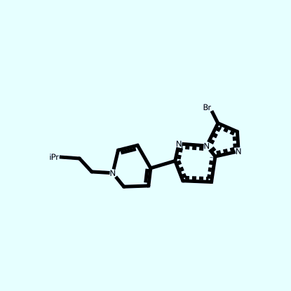 CC(C)CCN1C=CC(c2ccc3ncc(Br)n3n2)=CC1